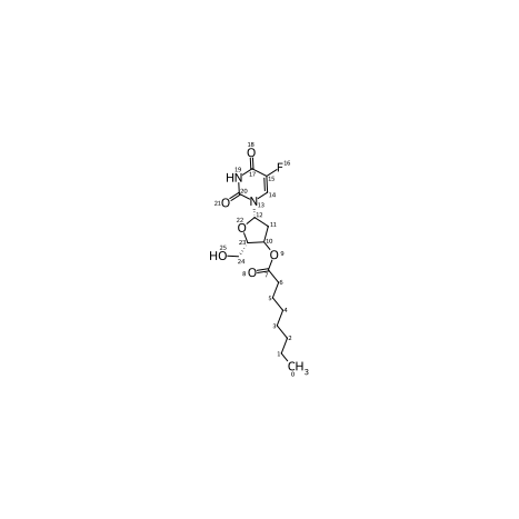 CCCCCCCC(=O)OC1C[C@@H](n2cc(F)c(=O)[nH]c2=O)O[C@H]1CO